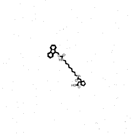 O=C(O)CC1(CC(=O)NCCCCCCCCNC(=O)OCC2c3ccccc3-c3ccccc32)CCCC1